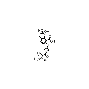 N[C@H](O)[C@@H](N)C(=O)N1CC(Oc2ccc3c(c2C(=O)O)O[B-](O)(O)CC3)C1